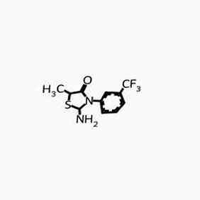 CC1SC(N)N(c2cccc(C(F)(F)F)c2)C1=O